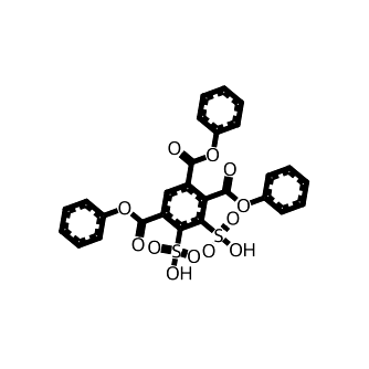 O=C(Oc1ccccc1)c1cc(C(=O)Oc2ccccc2)c(S(=O)(=O)O)c(S(=O)(=O)O)c1C(=O)Oc1ccccc1